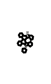 c1ccc(-n2c3ccccc3c3c4c(c5ccccc5c5[nH]c6ccccc6c54)c4ccccc4c32)cc1